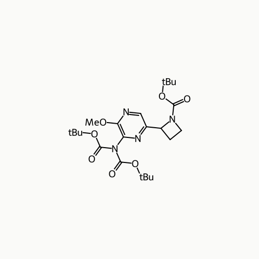 COc1ncc(C2CCN2C(=O)OC(C)(C)C)nc1N(C(=O)OC(C)(C)C)C(=O)OC(C)(C)C